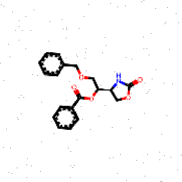 O=C1N[C@H](C(COCc2ccccc2)OC(=O)c2ccccc2)CO1